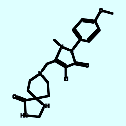 COc1ccc(-n2c(=O)c(Cl)c(CN3CCC4(CC3)NCNC4=O)n2C)cc1